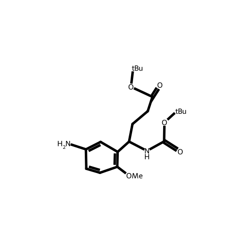 COc1ccc(N)cc1C(CCC(=O)OC(C)(C)C)NC(=O)OC(C)(C)C